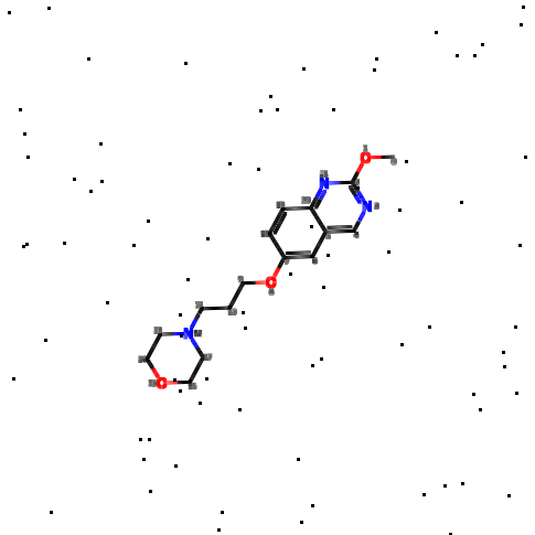 COc1ncc2cc(OCCCN3CCOCC3)ccc2n1